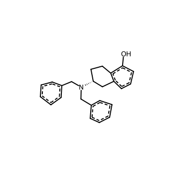 Oc1cccc2c1CC[C@@H](N(Cc1ccccc1)Cc1ccccc1)C2